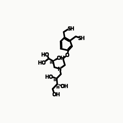 OC[C@@H](O)[C@@H](O)CN(CCOc1ccc(CS)c(CS)c1)C[C@H](O)C(O)O